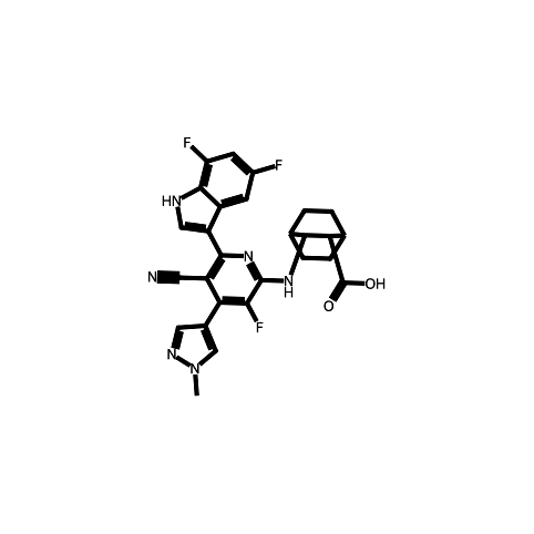 Cn1cc(-c2c(F)c(NC3C4CCC(CC4)C3C(=O)O)nc(-c3c[nH]c4c(F)cc(F)cc34)c2C#N)cn1